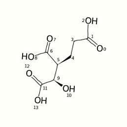 O=C(O)CC[C@H](C(=O)O)[C@@H](O)C(=O)O